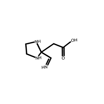 N=CC1(CC(=O)O)NCCN1